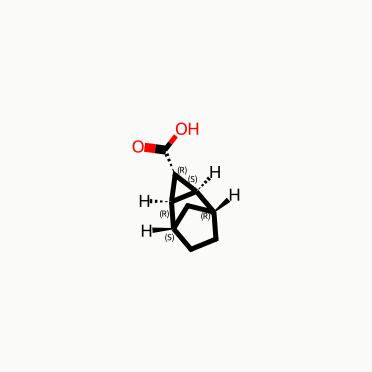 O=C(O)[C@@H]1[C@H]2[C@@H]3CC[C@@H](C3)[C@@H]12